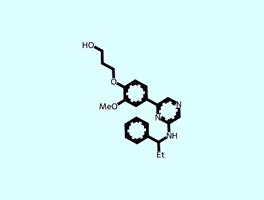 CCC(Nc1cncc(-c2ccc(OCCCO)c(OC)c2)n1)c1ccccc1